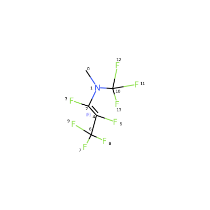 CN(/C(F)=C(\F)C(F)(F)F)C(F)(F)F